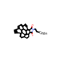 COCCn1c(=O)c2c3ccc4ccc5ccc6ccc7ccc(c2c1=O)c1c7c6c5c4c31